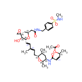 CNS(=O)(=O)c1ccc(CNC(=O)C[C@@H]2C[C@@]3(CO3)[C@H](O)[C@@H](/C=C/C(C)=C/C[C@@H]3O[C@H](C)[C@H](NC(=O)/C=C\[C@H](C)OC(C)=O)C[C@@H]3C)O2)cc1